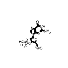 COCC1OC(n2cnc3c(=O)[nH]c(N)nc32)CC1OP(C)(=O)O